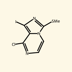 CSc1nc(I)c2c(Cl)nccn12